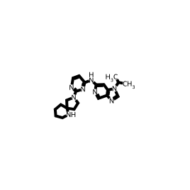 CC(C)n1cnc2cnc(Nc3ccnc(N4CCC5(CCCCN5)C4)n3)cc21